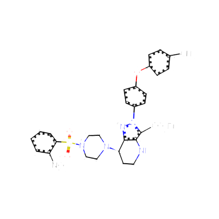 CCOC(=O)c1c2c(nn1-c1ccc(Oc3ccc(C)cc3)cc1)[C@H](N1CCN(S(=O)(=O)c3ccccc3[N+](=O)[O-])CC1)CCN2